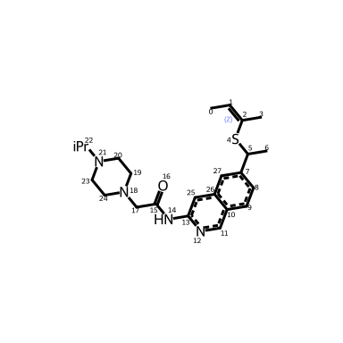 C/C=C(/C)SC(C)c1ccc2cnc(NC(=O)CN3CCN(C(C)C)CC3)cc2c1